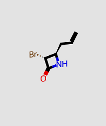 C=CC[C@H]1NC(=O)[C@@H]1Br